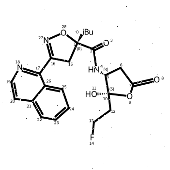 CCC(C)[C@@]1(C(=O)N[C@@H]2CC(=O)O[C@@]2(O)CCF)CC(c2nccc3ccccc23)=NO1